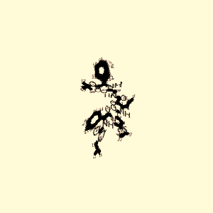 CCCC(NC(=O)[C@@H]1CC2(CN1C(=O)C(NC(=O)OCC(C)C)C1CCCCC1)SCCS2)C(=O)C(=O)NCC(=O)NC(C(=O)OC(C)(C)C)c1ccccc1